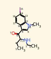 CCNC(CC)C(=O)c1cn(C)c2cc(I)ccc12